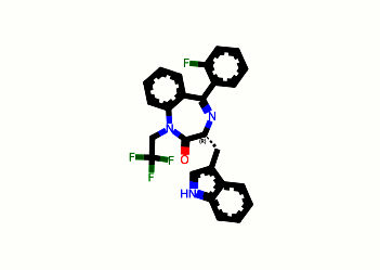 O=C1[C@@H](Cc2c[nH]c3ccccc23)N=C(c2ccccc2F)c2ccccc2N1CC(F)(F)F